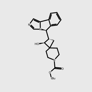 CC(C)(C)OC(=O)N1CCC2(CC1)C[C@@H]([C@@H]1c3ccccc3-c3cncn31)[C@@H]2O